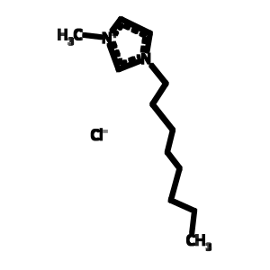 CCCCCCCCn1cc[n+](C)c1.[Cl-]